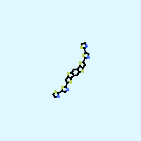 c1csc(-c2cnc(-c3cc4sc5cc6c(cc5c4s3)sc3cc(-c4ncc(-c5nccs5)s4)sc36)s2)n1